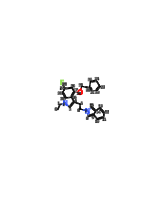 CCn1cc(CCn2cc3ccccc3c2)c2c(OCc3ccccc3)cc(F)cc21